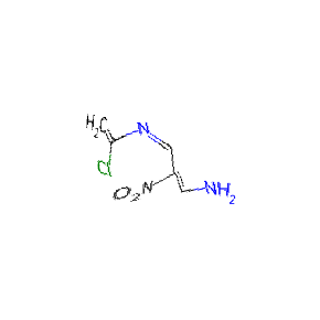 C=C(Cl)/N=C\C(=C/N)[N+](=O)[O-]